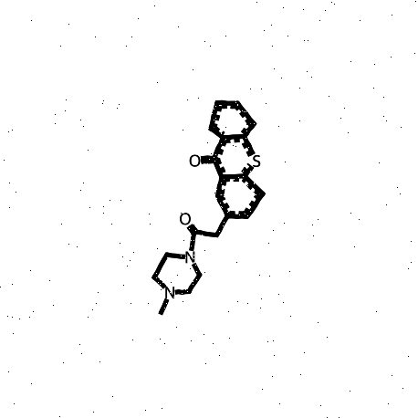 CN1CCN(C(=O)Cc2ccc3sc4ccccc4c(=O)c3c2)CC1